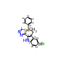 CCc1c(C2=NN=C[SH]2Cc2ccccc2)[nH]c2ccc(Br)cc12